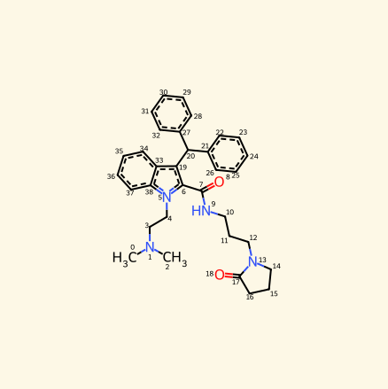 CN(C)CCn1c(C(=O)NCCCN2CCCC2=O)c(C(c2ccccc2)c2ccccc2)c2ccccc21